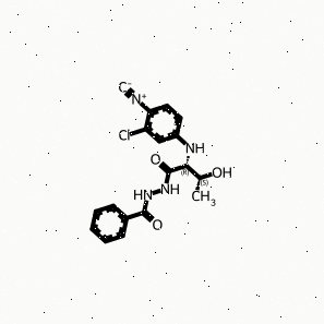 [C-]#[N+]c1ccc(N[C@@H](C(=O)NNC(=O)c2ccccc2)[C@H](C)O)cc1Cl